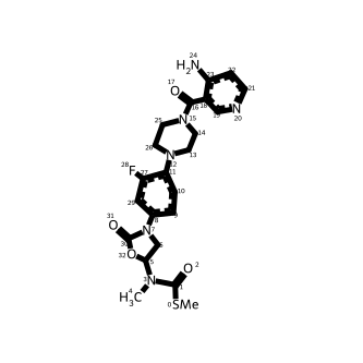 CSC(=O)N(C)C1CN(c2ccc(N3CCN(C(=O)c4cnccc4N)CC3)c(F)c2)C(=O)O1